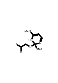 COC1=CC=NC(OC)(OCC(F)F)N1